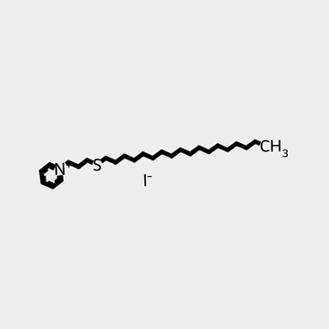 CCCCCCCCCCCCCCCCCCSCCC[n+]1ccccc1.[I-]